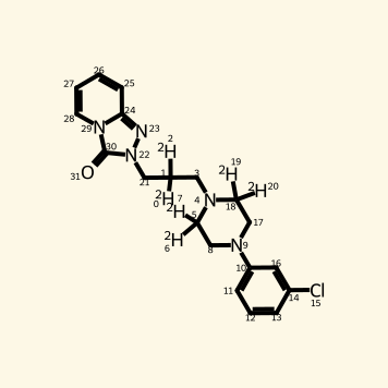 [2H]C([2H])(CN1C([2H])([2H])CN(c2cccc(Cl)c2)CC1([2H])[2H])Cn1nc2ccccn2c1=O